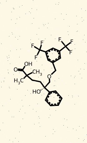 CC(C)(CC[C@@](O)(COCc1cc(C(F)(F)F)cc(C(F)(F)F)c1)c1ccccc1)C(=O)O